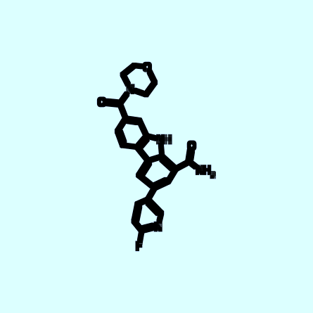 NC(=O)c1cc(-c2ccc(F)nc2)cc2c1[nH]c1cc(C(=O)N3CCOCC3)ccc12